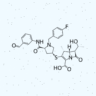 C[C@@H](O)[C@H]1C(=O)N2C(C(=O)O)=C(S[C@H]3C[C@@H](C(=O)Nc4cccc(C=O)c4)N(Cc4ccc(F)cc4)C3)[C@H](C)[C@H]12